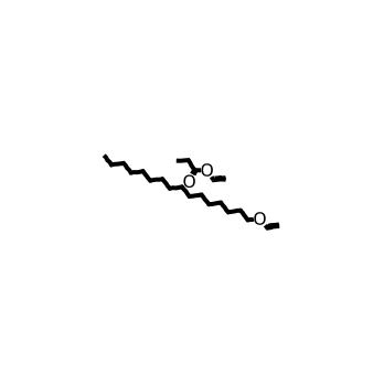 C=COC(=O)CC.C=COCCCCCCCCCCCCCCCC